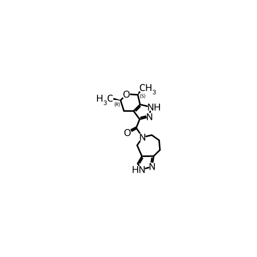 C[C@@H]1Cc2c(C(=O)N3CCCc4n[nH]cc4C3)n[nH]c2[C@H](C)O1